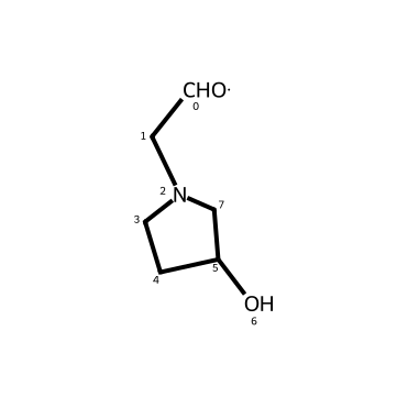 O=[C]CN1CCC(O)C1